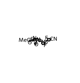 COC(=O)c1cc2c(nc(CN3CCC(c4ccc(F)c(OCc5ccc(C#N)cc5F)n4)CC3)n2C[C@@H]2CCO2)s1